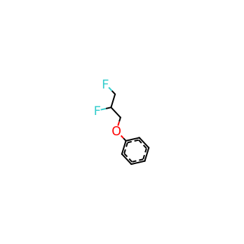 FCC(F)COc1ccccc1